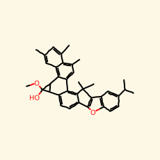 COC1(O)C2c3ccc4c(c3-c3cc(C)c5c(C)cc(C)cc5c3C21)C(C)(C)c1c-4oc2ccc(C(C)C)cc12